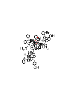 C[C@@H](NC(=O)[C@H](Cc1ccc(O)cc1)NC(=O)OCc1ccccc1Br)C(=O)NCC(=O)N[C@@H](Cc1ccccc1)C(=O)N(C(=O)OCc1ccccc1Cl)[C@@](CCCCN)(C(=O)NC(c1ccccc1)c1ccccc1)C(=O)[C@H](Cc1ccccc1)NC(=O)CNC(=O)[C@@H](C)NC(=O)[C@H](Cc1ccc(O)cc1)NC(=O)OCc1ccccc1Br